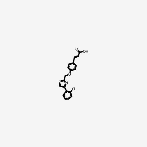 O=C(O)/C=C/c1ccc(OCc2nc(-c3ccccc3Cl)cs2)cc1